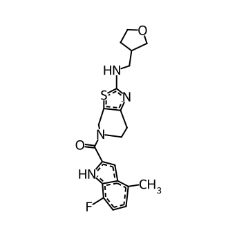 Cc1ccc(F)c2[nH]c(C(=O)N3CCc4nc(NCC5CCOC5)sc4C3)cc12